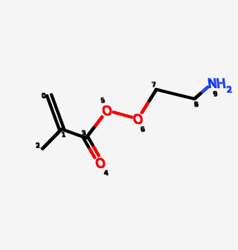 C=C(C)C(=O)OOCCN